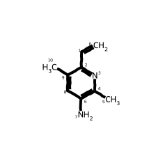 C=Cc1nc(C)c(N)cc1C